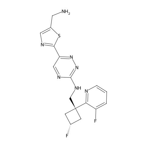 NCc1cnc(-c2cnc(NC[C@]3(c4ncccc4F)C[C@@H](F)C3)nn2)s1